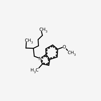 CCCCC(CC)Cn1c(C)cc2cc(OC)ccc21